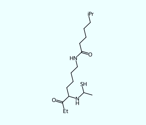 CCC(=O)C(CCCCNC(=O)CCCCC(C)C)NC(C)S